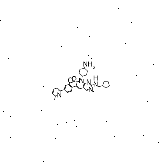 Cc1cccc(-c2ccc(-c3cc4cnc(NCC5CCCC5)nc4n([C@H]4CC[C@H](N)CC4)c3=O)c(Cl)c2)n1